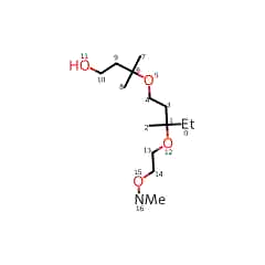 CCC(C)(CCOC(C)(C)CCO)OCCONC